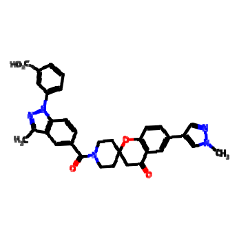 Cc1nn(-c2cccc(C(=O)O)c2)c2ccc(C(=O)N3CCC4(CC3)CC(=O)c3cc(-c5cnn(C)c5)ccc3O4)cc12